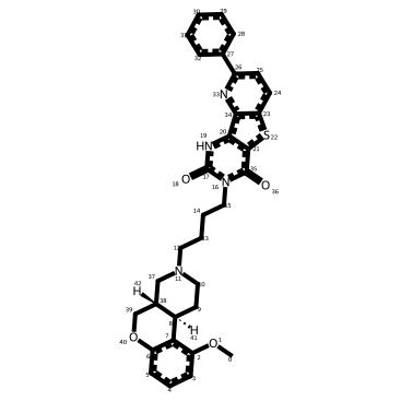 COc1cccc2c1[C@@H]1CCN(CCCCn3c(=O)[nH]c4c(sc5ccc(-c6ccccc6)nc54)c3=O)C[C@H]1CO2